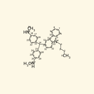 CCCCn1c2ccccc2c2cc(C(c3ccc(NC)cc3)c3ccc(NC)cc3)ccc21